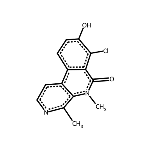 Cc1nccc2c3ccc(O)c(Cl)c3c(=O)n(C)c12